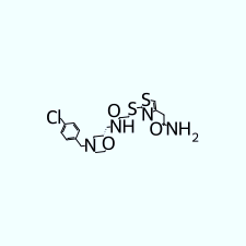 NC(=O)Cc1csc(SCC(=O)NC[C@H]2CN(Cc3ccc(Cl)cc3)CCO2)n1